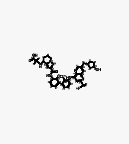 CC(C)(NC1CCCn2nc(C(=O)Nc3cccc(-c4cccc(Nc5nc(C(F)F)nc6cc(CN7CC[C@@H](O)C7)cnc56)c4Cl)c3Cl)cc21)C(=O)O